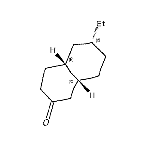 CC[C@@H]1CC[C@@H]2CC(=O)CC[C@@H]2C1